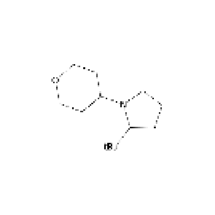 CC(C)(C)C1CCCN1C1CCOCC1